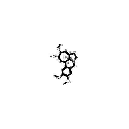 COc1cc2c(cc1OC)[C@@H]1C[C@H](O)[C@@H](OC)C=C3CCN(C2)[C@H]31